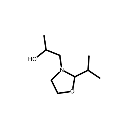 CC(O)CN1CCOC1C(C)C